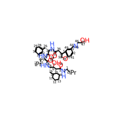 CC(C)CNC(=O)C[C@H](O)[C@H](CC1CCCCC1)NC(=O)[C@H](CC(C)C)NC(=O)[C@H](Cc1ccccc1)NC(=O)CC1COc2ccc(C=NCCO)cc21